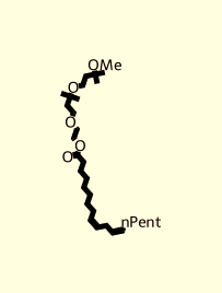 CCCCC/C=C\C/C=C\CCCCCCCC(=O)OCCOCCC(C)(C)OCCC(C)(C)OC